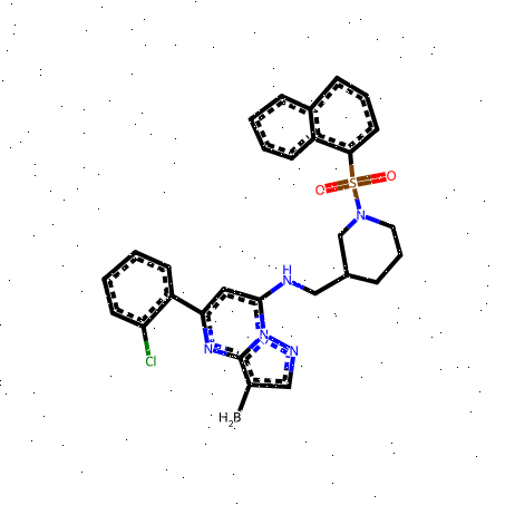 Bc1cnn2c(NCC3CCCN(S(=O)(=O)c4cccc5ccccc45)C3)cc(-c3ccccc3Cl)nc12